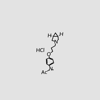 CC(=O)N(C)c1ccc(OCCCN2C[C@H]3C[C@H]3C2)cc1.Cl